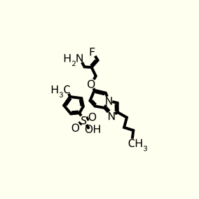 CCCCc1cn2cc(OC/C(=C/F)CN)ccc2n1.Cc1ccc(S(=O)(=O)O)cc1